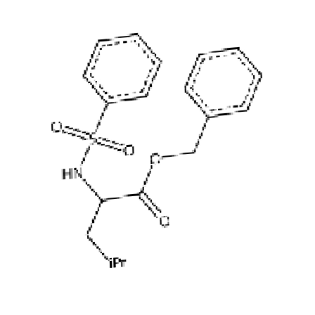 CC(C)CC(NS(=O)(=O)c1ccccc1)C(=O)OCc1ccccc1